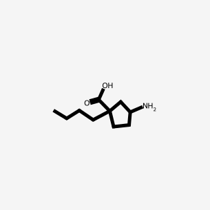 CCCCC1(C(=O)O)CCC(N)C1